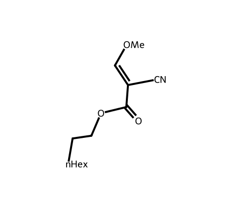 CCCCCCCCOC(=O)C(C#N)=COC